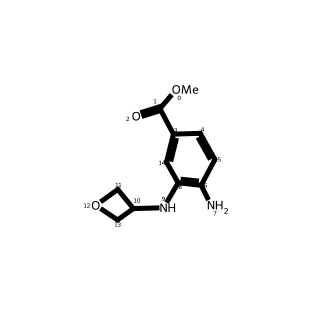 COC(=O)c1ccc(N)c(NC2COC2)c1